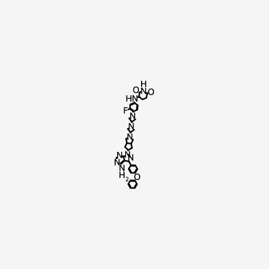 Nc1ncnc2c1c(-c1ccc(Oc3ccccc3)cc1)nn2C1CC2CN(C3CN(C4CN(c5ccc(NC6CCC(=O)NC6=O)cc5F)C4)C3)CC2C1